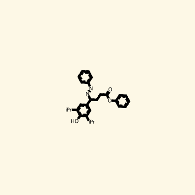 CC(C)c1cc(C(CCC(=O)Oc2ccccc2)N=Nc2ccccc2)cc(C(C)C)c1O